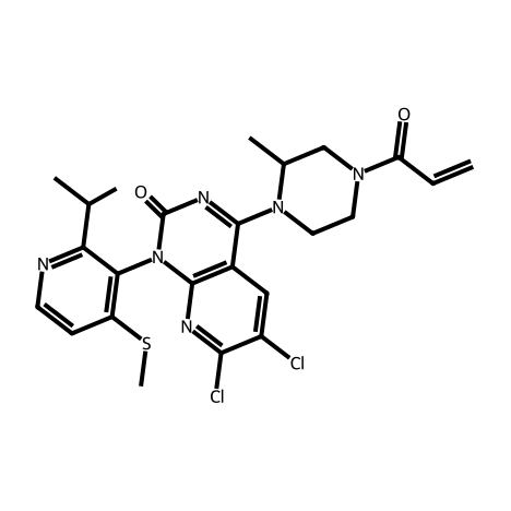 C=CC(=O)N1CCN(c2nc(=O)n(-c3c(SC)ccnc3C(C)C)c3nc(Cl)c(Cl)cc23)C(C)C1